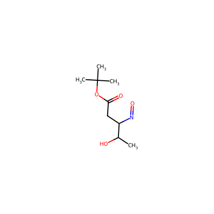 CC(O)C(CC(=O)OC(C)(C)C)N=O